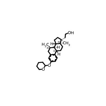 C[C@@H]1Cc2cc(OC3CCCCO3)ccc2[C@H]2CC[C@]3(C)[C@@H](CCO)CC[C@H]3[C@H]12